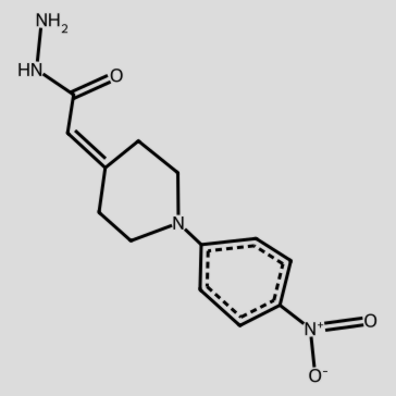 NNC(=O)C=C1CCN(c2ccc([N+](=O)[O-])cc2)CC1